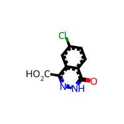 O=C(O)c1n[nH]c(=O)c2ccc(Cl)cc12